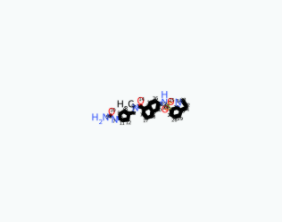 CN(CC1=CCC(=NC(N)=O)C=C1)C(=O)c1cccc2cc(NS(=O)(=O)c3cccc4cccnc34)ccc12